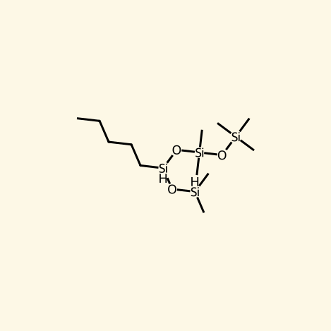 CCCCC[SiH](O[SiH](C)C)O[Si](C)(C)O[Si](C)(C)C